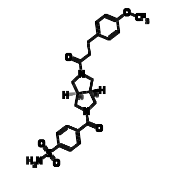 NS(=O)(=O)c1ccc(C(=O)N2C[C@H]3CN(C(=O)CCc4ccc(OC(F)(F)F)cc4)C[C@@H]3C2)cc1